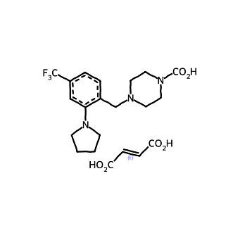 O=C(O)/C=C/C(=O)O.O=C(O)N1CCN(Cc2ccc(C(F)(F)F)cc2N2CCCC2)CC1